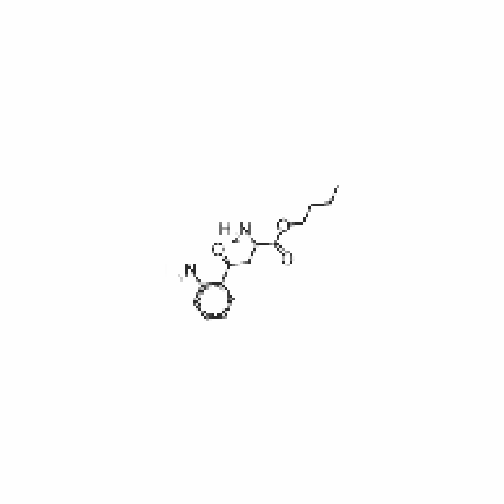 CCCCOC(=O)C(N)CC(=O)c1ccccc1N